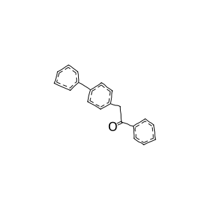 O=C(Cc1ccc(-c2ccccc2)cc1)c1ccccc1